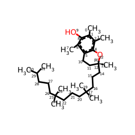 Cc1c(C)c2c(c(C)c1O)CC[C@@](C)(CCCC(C)(C)CCCC(C)(C)CCCC(C)C)O2